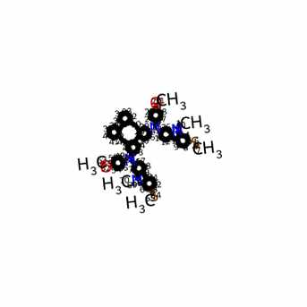 CCn1c2cc(SC)ccc2c2ccc(N(c3ccc(OC)cc3)c3ccc4c(c3)Cc3ccccc3-c3ccccc3Cc3cc(N(c5ccc(OC)cc5)c5ccc6c7ccc(SC)cc7n(CC)c6c5)ccc3-4)cc21